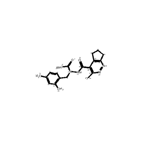 COC(=O)N(Cc1ccc(C)cc1C)NC(=O)c1c(Cl)nnc2c1CCC2